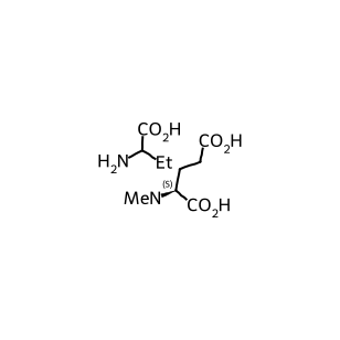 CCC(N)C(=O)O.CN[C@@H](CCC(=O)O)C(=O)O